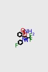 NS(=O)(=O)c1ccccc1-c1cc(C(F)F)nn1-c1ccc(F)cc1